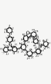 c1ccc(-c2ccc(-n3c4ccccc4c4ccc(-c5cc(-c6cccc(-c7cccc(N(c8ccccc8)c8ccccc8)c7)c6)cc(-c6ccc7oc8ccccc8c7c6)c5)cc43)cc2)cc1